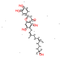 CC(=CCc1c(O)cc2c(c1O)C(=O)CC(c1ccc(O)c(O)c1)O2)CCC=C(C)CCCC(C)(C)O